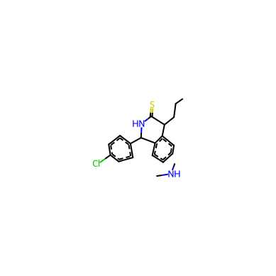 CCCC1C(=S)NC(c2ccc(Cl)cc2)c2ccccc21.CNC